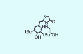 CC(C)(C)c1cc(C=C2SCC(=O)N2NCCO)cc(C(C)(C)C)c1O